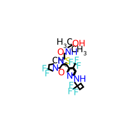 C[C@H]1CC(F)(F)CN1C(=O)c1nc(C(=O)NCC(C)(C)O)sc1-c1cnc(NCC2(C(F)(F)F)CCC2)cc1C(F)(F)F